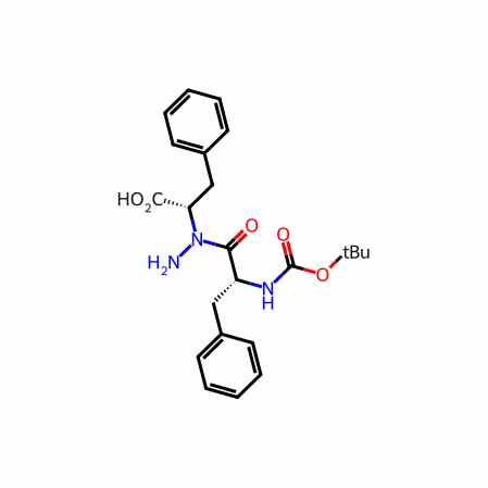 CC(C)(C)OC(=O)N[C@H](Cc1ccccc1)C(=O)N(N)[C@@H](Cc1ccccc1)C(=O)O